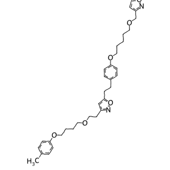 Cc1ccc(OCCCCOCCc2cc(CCc3ccc(OCCCCCOCc4cc(C)on4)cc3)on2)cc1